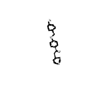 CC(C)c1ccc(COc2ccc(C(=O)Cc3ccncc3)cc2)cc1